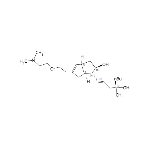 CCCC[C@](C)(O)C/C=C/[C@@H]1[C@H]2CC(CCOCCN(C)C)=C[C@H]2C[C@H]1O